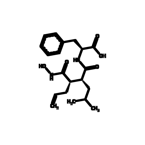 C=CC[C@H](C(=O)NO)[C@@H](CC(C)C)C(=O)N[C@@H](Cc1ccccc1)C(=O)O